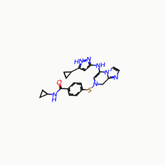 O=C(NC1CC1)c1ccc(SN2C=C(Nc3cc(C4CC4)[nH]n3)[N+]3C=CN=C3C2)cc1